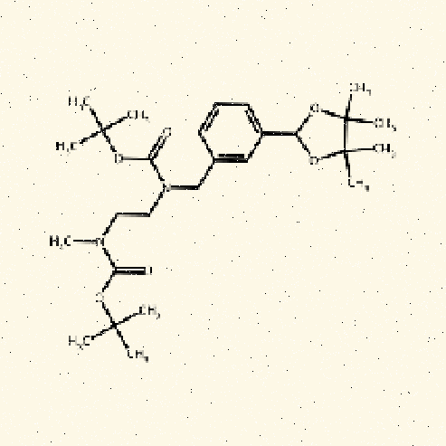 CN(CCN(Cc1cccc(C2OC(C)(C)C(C)(C)O2)c1)C(=O)OC(C)(C)C)C(=O)OC(C)(C)C